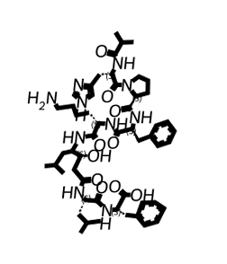 CC(C)CC(NC(=O)[C@H](CCCCN)NC(=O)[C@H](Cc1ccccc1)NC(=O)[C@@H]1CCCN1C(=O)[C@H](Cc1c[nH]cn1)NC(=O)C(C)C)[C@@H](O)CC(=O)N[C@@H](CC(C)C)C(=O)N[C@@H](Cc1ccccc1)C(=O)O